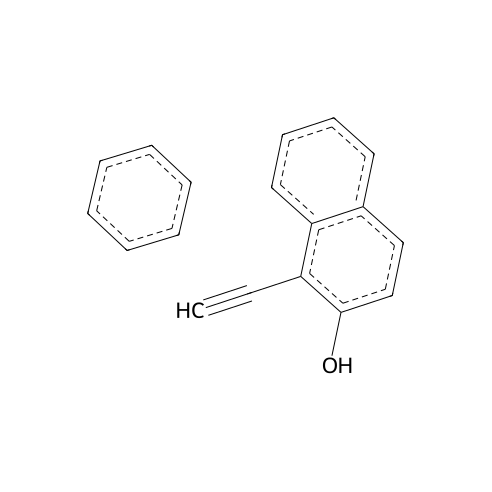 C#Cc1c(O)ccc2ccccc12.c1ccccc1